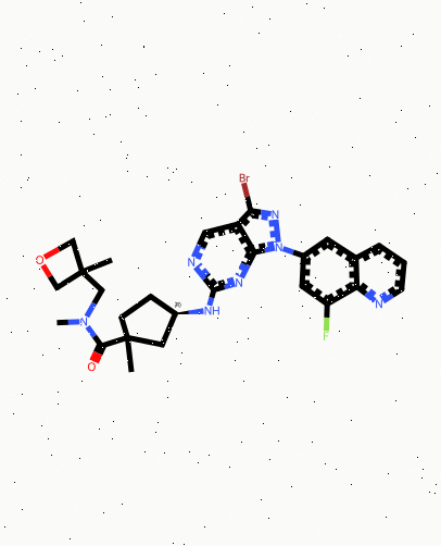 CN(CC1(C)COC1)C(=O)C1(C)CC[C@@H](Nc2ncc3c(Br)nn(-c4cc(F)c5ncccc5c4)c3n2)C1